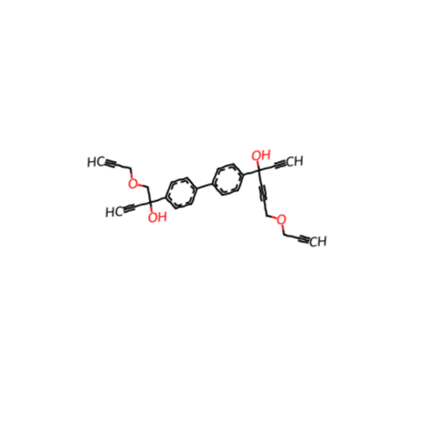 C#CCOCC#CC(O)(C#C)c1ccc(-c2ccc(C(O)(C#C)COCC#C)cc2)cc1